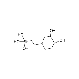 OC1CCC(CC[Si](O)(O)O)CC1O